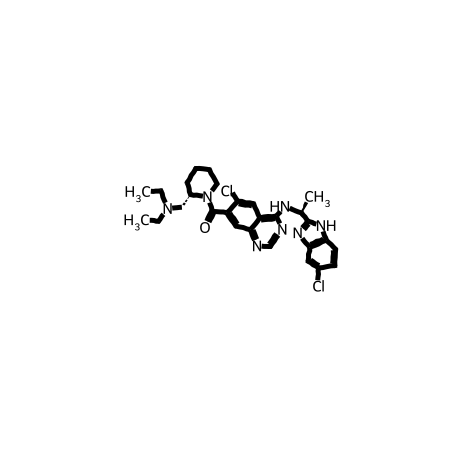 CCN(CC)C[C@@H]1CCCCN1C(=O)c1cc2ncnc(N[C@@H](C)c3nc4cc(Cl)ccc4[nH]3)c2cc1Cl